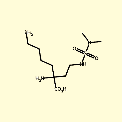 BCCCCC(N)(CCNS(=O)(=O)N(C)C)C(=O)O